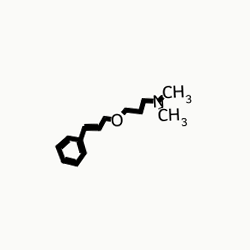 CN(C)CCCOCC=Cc1ccccc1